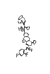 O=C1CC(Nc2ccc(F)cc2F)=CC2=C1Cc1ccc(NC(=O)N3CCOCC3)cc1CO2